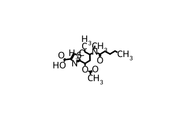 CCCCC(=O)N(C)C(CC(OC(C)=O)c1nc(C(=O)O)cs1)C(C)C